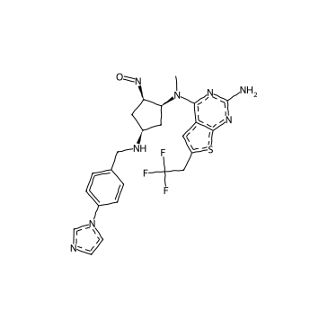 CN(c1nc(N)nc2sc(CC(F)(F)F)cc12)[C@H]1C[C@@H](NCC2=C=C=C(n3ccnc3)C=C2)C[C@H]1N=O